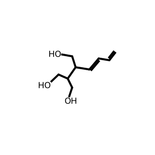 C=CC=CC(CO)C(CO)CO